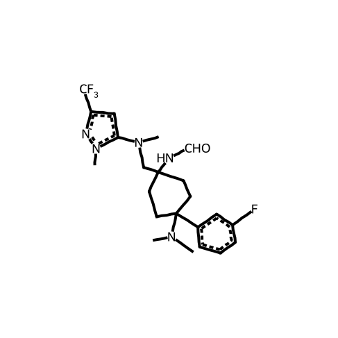 CN(CC1(NC=O)CCC(c2cccc(F)c2)(N(C)C)CC1)c1cc(C(F)(F)F)nn1C